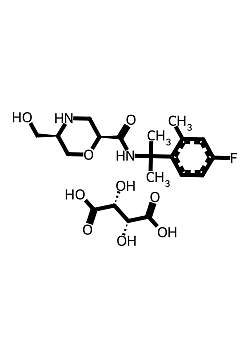 Cc1cc(F)ccc1C(C)(C)NC(=O)[C@@H]1CN[C@H](CO)CO1.O=C(O)[C@H](O)[C@@H](O)C(=O)O